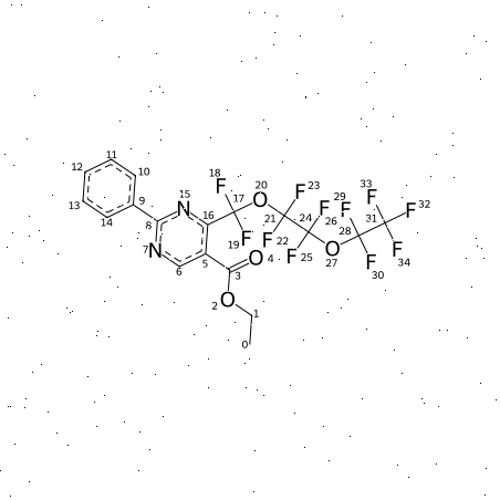 CCOC(=O)c1cnc(-c2ccccc2)nc1C(F)(F)OC(F)(F)C(F)(F)OC(F)(F)C(F)(F)F